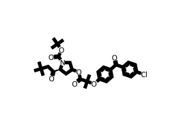 CC(C)(C)CC(=O)[C@@H]1CC(OC(=O)C(C)(C)Oc2ccc(C(=O)c3ccc(Cl)cc3)cc2)CN1C(=O)OC(C)(C)C